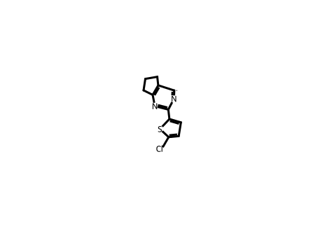 Clc1ccc(-c2n[c]c3c(n2)CCC3)s1